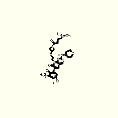 COc1cc(OC)c(Cl)c(-c2cc3cnc(NC4CCOCC4)nc3n(CCOC3CN(C(=O)C=CCN(C)C)C3)c2=O)c1